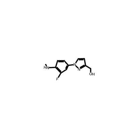 CNc1ccc(-n2ccc(CO)n2)cc1F